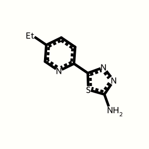 CCc1ccc(-c2nnc(N)s2)nc1